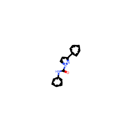 O=C(Nc1ccccc1)n1ccc(-c2ccccc2)n1